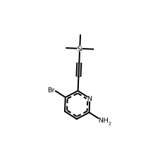 C[Si](C)(C)C#Cc1nc(N)ccc1Br